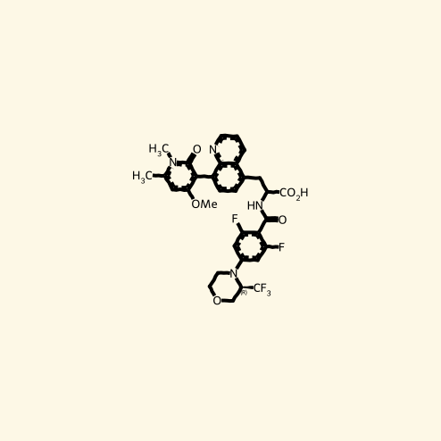 COc1cc(C)n(C)c(=O)c1-c1ccc(CC(NC(=O)c2c(F)cc(N3CCOC[C@@H]3C(F)(F)F)cc2F)C(=O)O)c2cccnc12